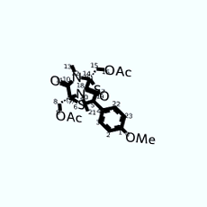 COc1ccc(C2S[C@@]3(COC(C)=O)C(=O)N(C)[C@@](COC(C)=O)(S2)C(=O)N3C)cc1